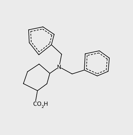 O=C(O)C1CCCC(N(Cc2ccccc2)Cc2ccccc2)C1